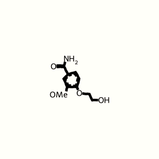 COc1cc(C(N)=O)ccc1OCCO